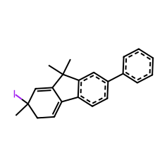 CC1(I)C=C2C(=CC1)c1ccc(-c3ccccc3)cc1C2(C)C